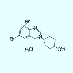 Cl.OC1CCC(N2C=Nc3c(Br)cc(Br)cc3C2)CC1